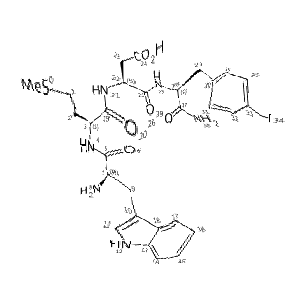 CSCC[C@H](NC(=O)[C@H](N)Cc1c[nH]c2ccccc12)C(=O)N[C@@H](CC(=O)O)C(=O)N[C@@H](Cc1ccc(I)cc1)C(N)=O